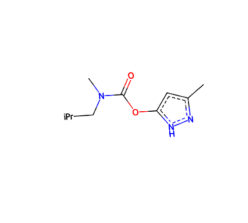 Cc1cc(OC(=O)N(C)CC(C)C)[nH]n1